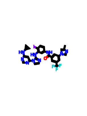 Cc1cn(-c2cc(C(=O)Nc3ccc(I)c(Nc4nccn4-c4cc(NC5CC5)ncn4)c3)cc(C(F)(F)F)c2)cn1